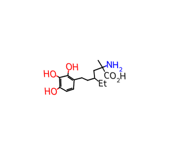 CCC(CCc1ccc(O)c(O)c1O)CC(C)(N)C(=O)O